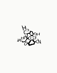 CC(C)CC(Oc1ccc(C#N)c(C(F)(F)F)c1)C(=O)NC(C)c1ccc(O)cc1